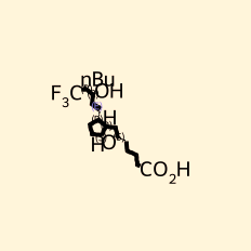 CCCC[C@H]([C@H](O)/C=C/[C@H]1CC[C@@H]2O[C@@H](CCCCC(=O)O)C[C@@H]21)C(F)(F)F